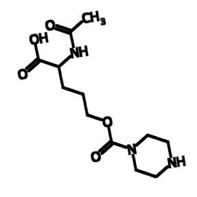 CC(=O)NC(CCCOC(=O)N1CCNCC1)C(=O)O